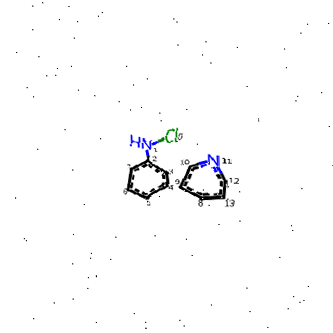 ClNc1ccccc1.c1ccncc1